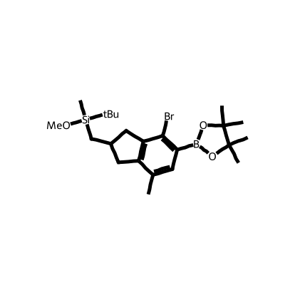 CO[Si](C)(CC1Cc2c(C)cc(B3OC(C)(C)C(C)(C)O3)c(Br)c2C1)C(C)(C)C